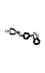 c1ccc2c(c1)nnn2-c1ccc(/N=N/N2CCNCC2)cc1